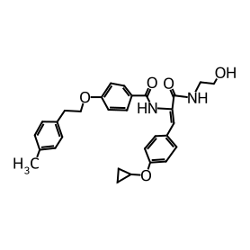 Cc1ccc(CCOc2ccc(C(=O)N/C(=C\c3ccc(OC4CC4)cc3)C(=O)NCCO)cc2)cc1